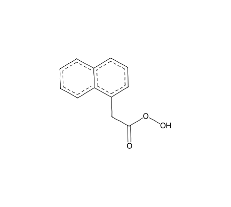 O=C(Cc1cccc2ccccc12)OO